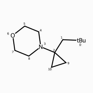 CC(C)(C)CC1(N2CCOCC2)CC1